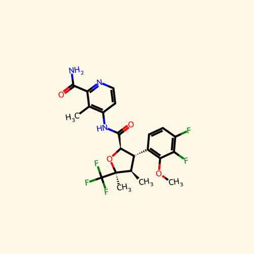 COc1c([C@@H]2[C@@H](C)[C@@](C)(C(F)(F)F)O[C@H]2C(=O)Nc2ccnc(C(N)=O)c2C)ccc(F)c1F